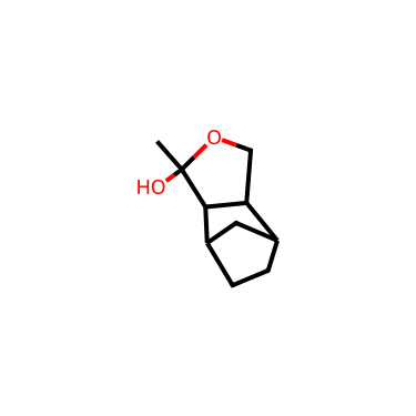 CC1(O)OCC2C3CCC(C3)C21